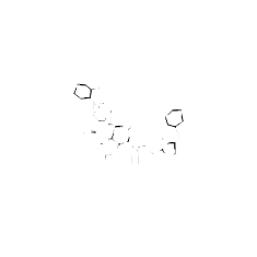 CC(=O)O[C@@H](C(=O)NCCc1nc(Cc2ccccc2)co1)[C@@H](OC(C)=O)C(=O)N1CCN(c2ccccc2Cl)CC1